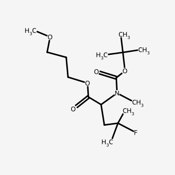 COCCCOC(=O)C(CC(C)(C)F)N(C)C(=O)OC(C)(C)C